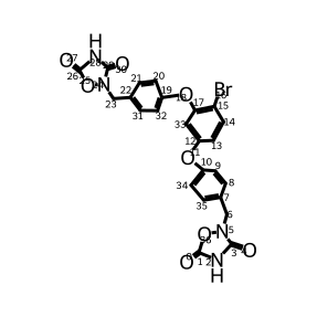 O=c1[nH]c(=O)n(Cc2ccc(Oc3ccc(Br)c(Oc4ccc(Cn5oc(=O)[nH]c5=O)cc4)c3)cc2)o1